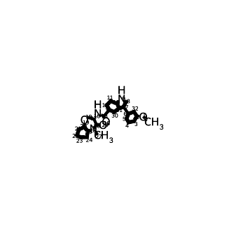 COc1cccc(-c2c[nH]c3ccc(C(=O)N[C@H]4COc5ccccc5N(C)C4=O)cc23)c1